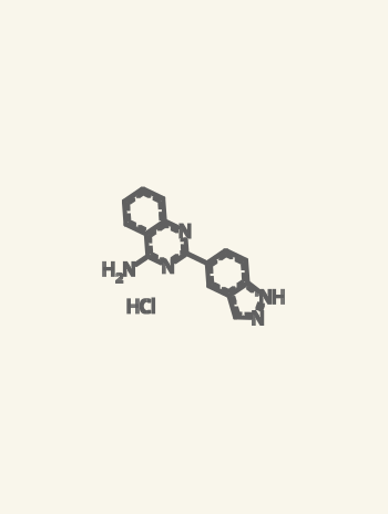 Cl.Nc1nc(-c2ccc3[nH]ncc3c2)nc2ccccc12